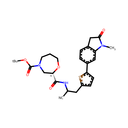 CN1C(=O)Cc2ccc(-c3ccc(CC(C#N)NC(=O)[C@@H]4CN(C(=O)OC(C)(C)C)CCCO4)s3)cc21